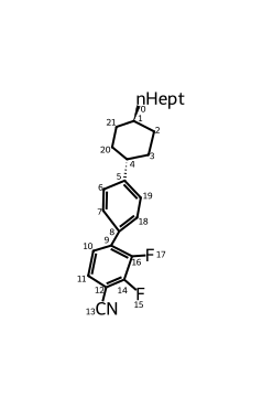 CCCCCCC[C@H]1CC[C@H](c2ccc(-c3ccc(C#N)c(F)c3F)cc2)CC1